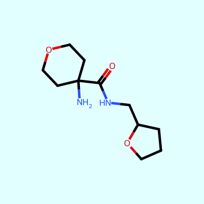 NC1(C(=O)NCC2CCCO2)CCOCC1